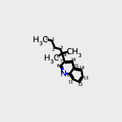 CCCCC(C)(C)c1cnc2ccccc2c1